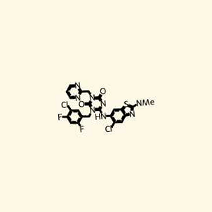 CNc1nc2cc(Cl)c(Nc3nc(=O)n(Cc4ncccn4)c(=O)n3Cc3cc(Cl)c(F)cc3F)cc2s1